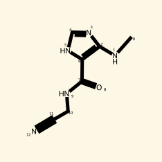 CNc1nc[nH]c1C(=O)NCC#N